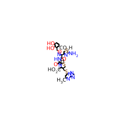 Cc1cc(SCC2=C(C(=O)O)N3C(=O)[C@@H](NC(=O)C(=NOCc4c(C(=O)O)ccc(O)c4O)c4csc(N)n4)[C@H]3SC2)n2ncnc2n1